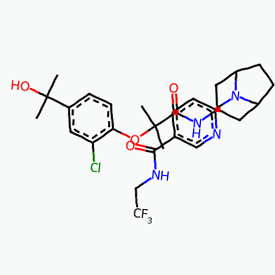 CC(C)(Oc1ccc(C(C)(C)O)cc1Cl)C(=O)NC1CC2CCC(C1)N2c1ccc(C(=O)NCC(F)(F)F)cn1